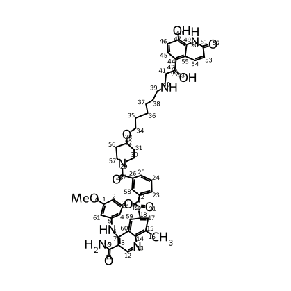 COc1cccc(Nc2c(C(N)=O)cnc3c(C)cc(S(=O)(=O)c4cccc(C(=O)N5CCC(OCCCCCCNC[C@H](O)c6ccc(O)c7[nH]c(=O)ccc67)CC5)c4)cc23)c1